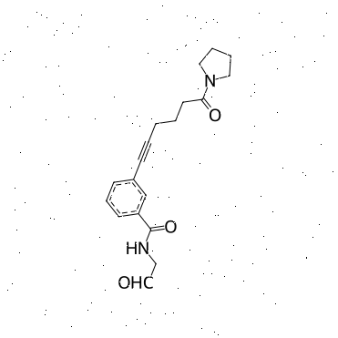 O=CCNC(=O)c1cccc(C#CCCCC(=O)N2CCCC2)c1